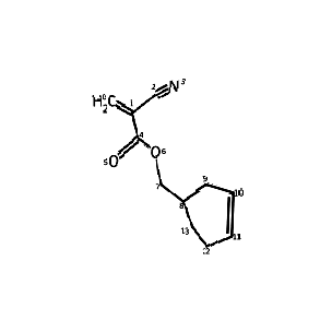 C=C(C#N)C(=O)OCC1CC=CCC1